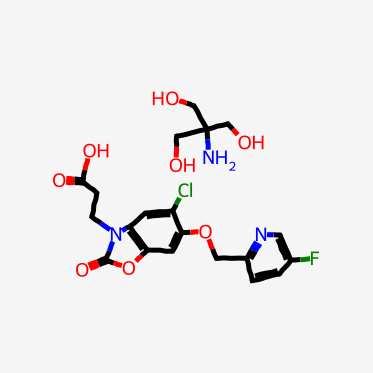 NC(CO)(CO)CO.O=C(O)CCn1c(=O)oc2cc(OCc3ccc(F)cn3)c(Cl)cc21